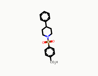 O=C(O)c1ccc(S(=O)(=O)N2CCC(c3ccccc3)CC2)cc1